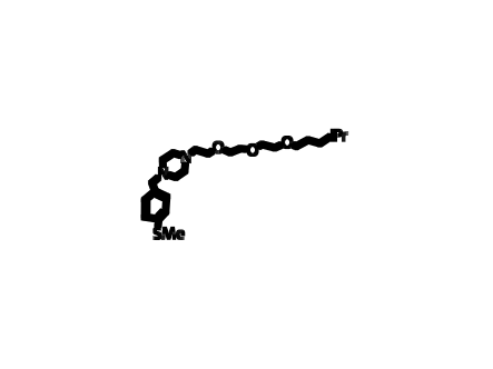 CSc1ccc(CN2CCN(CCOCCOCCOCCCC(C)C)CC2)cc1